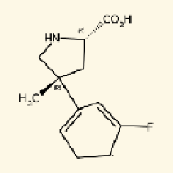 C[C@@]1(C2=CC[CH]C(F)=C2)CN[C@H](C(=O)O)C1